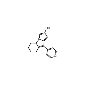 Oc1cc2c(-c3ccncc3)c3c(n2c1)=CCCC3